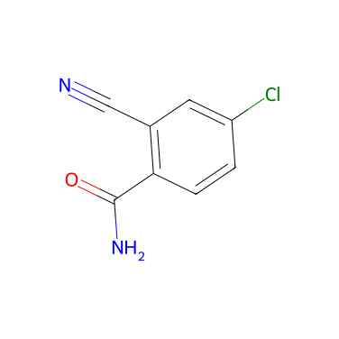 N#Cc1cc(Cl)ccc1C(N)=O